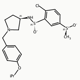 CC(C)Oc1ccc(CN2CC[C@@H](N[S@@+]([O-])c3cc([S@+](C)[O-])ccc3Cl)C2)cc1